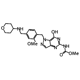 COC(=O)Nc1nc(O)c2c(cnn2Cc2ccc(CNC3CCOCC3)cc2OC)n1